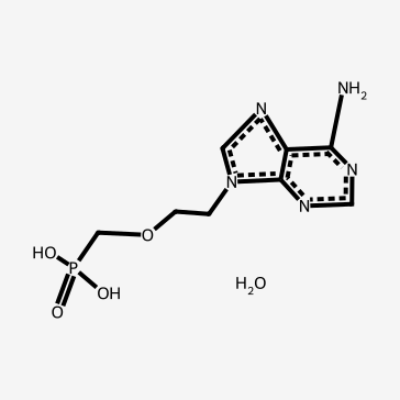 Nc1ncnc2c1ncn2CCOCP(=O)(O)O.O